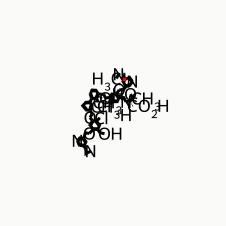 C/N=C\c1cncc(COc2cc(OCc3cccc(-c4cccc(COc5cc(OCc6cncc(C7=NC7)c6)c(CO)cc5Cl)c4C)c3C)c(Cl)cc2CN[C@@H](C(=O)O)[C@H](C)O)c1